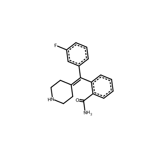 NC(=O)c1ccccc1C(=C1CCNCC1)c1cccc(F)c1